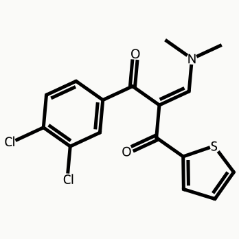 CN(C)C=C(C(=O)c1ccc(Cl)c(Cl)c1)C(=O)c1cccs1